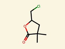 CC1(C)CC(CCl)OC1=O